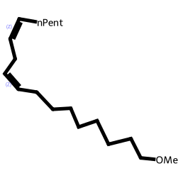 [CH]OCCCCCCCC/C=C\C/C=C\CCCCC